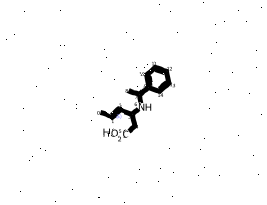 C/C=C/C(CC(=O)O)NC(C)c1ccccc1